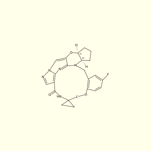 O=C1NC2(CC2)COc2ccc(F)cc2CN2c3nc4c1cnn4cc3O[C@H]1CCC[C@H]12